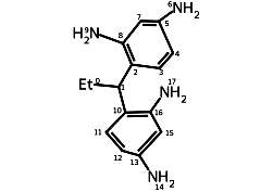 CCC(c1ccc(N)cc1N)c1ccc(N)cc1N